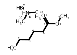 Br.CCCCCC(=O)OC.CNC